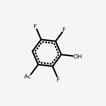 CC(=O)c1cc(F)c(F)c(O)c1F